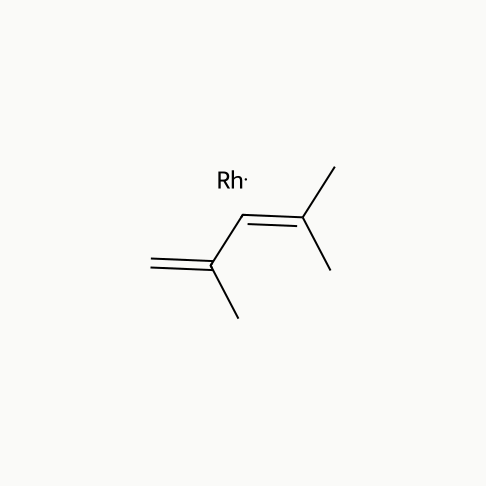 C=C(C)C=C(C)C.[Rh]